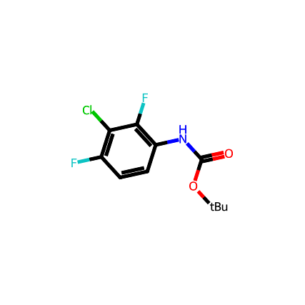 CC(C)(C)OC(=O)Nc1ccc(F)c(Cl)c1F